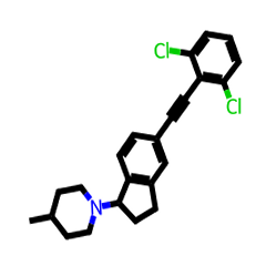 CC1CCN(C2CCc3cc(C#Cc4c(Cl)cccc4Cl)ccc32)CC1